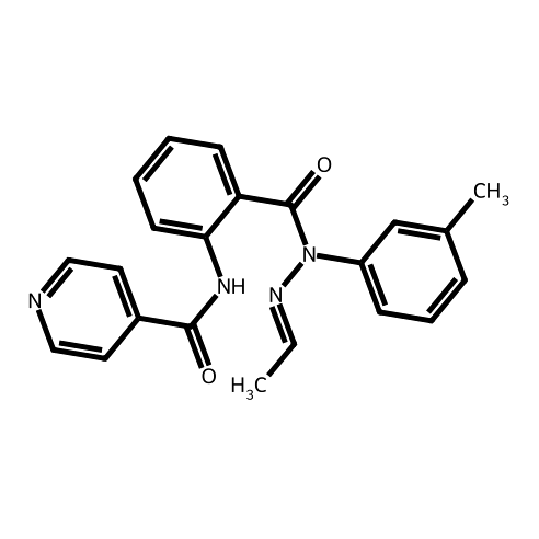 CC=NN(C(=O)c1ccccc1NC(=O)c1ccncc1)c1cccc(C)c1